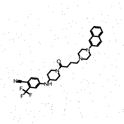 N#Cc1ccc(NC2CCN(C(=O)CCCN3CCN(c4ccc5ccccc5c4)CC3)CC2)cc1C(F)(F)F